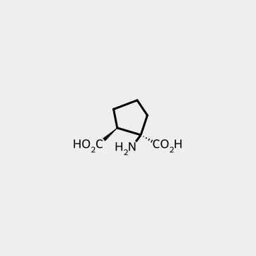 N[C@]1(C(=O)O)CCC[C@@H]1C(=O)O